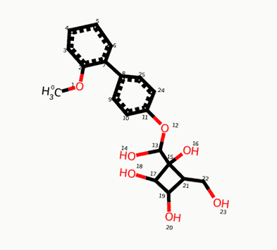 COc1ccccc1-c1ccc(OC(O)C2(O)C(O)C(O)C2CO)cc1